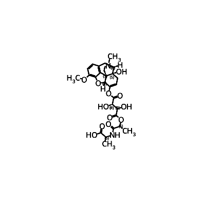 COc1ccc2c3c1O[C@H]1C(OC(=O)[C@H](O)[C@@H](O)C(=O)O[C@@H](C)C(=O)N[C@@H](C)C(=O)O)=CC[C@@]4(O)[C@@H](C2)N(C)CC[C@]314